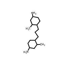 CC1CC(N)CCC1CCCC1CCC(N)CC1C